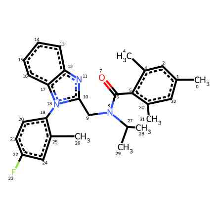 Cc1cc(C)c(C(=O)N(Cc2nc3ccccc3n2-c2ccc(F)cc2C)C(C)C)c(C)c1